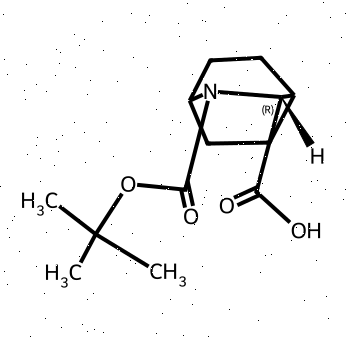 CC(C)(C)OC(=O)N1C2CCC(CC2)[C@@H]1C(=O)O